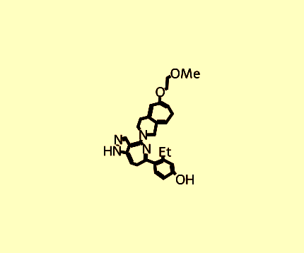 CCc1cc(O)ccc1C1=NC(N2CCC3=CC(OCCOC)=CCC=C3C2)=c2cn[nH]c2=CC1